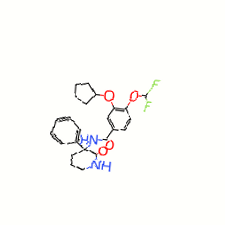 O=C(N[C@]1(c2ccccc2)CCCNC1=O)c1ccc(OC(F)F)c(OC2CCCC2)c1